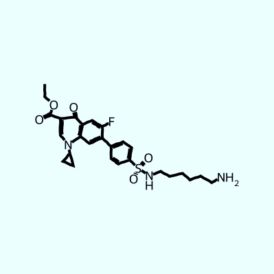 CCOC(=O)c1cn(C2CC2)c2cc(-c3ccc(S(=O)(=O)NCCCCCCN)cc3)c(F)cc2c1=O